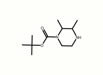 CC1NCCN(C(=O)OC(C)(C)C)C1C